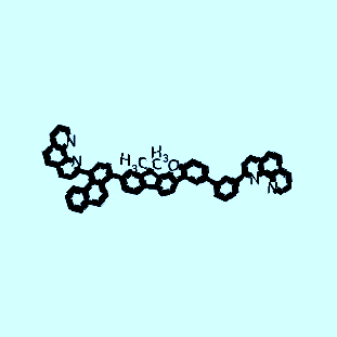 CC1(C)c2cc(-c3ccc(-c4ccc5ccc6cccnc6c5n4)c4c3ccc3ccccc34)ccc2-c2ccc3c(oc4ccc(-c5cccc(-c6ccc7ccc8cccnc8c7n6)c5)cc43)c21